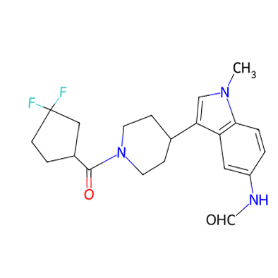 Cn1cc(C2CCN(C(=O)C3CCC(F)(F)C3)CC2)c2cc(NC=O)ccc21